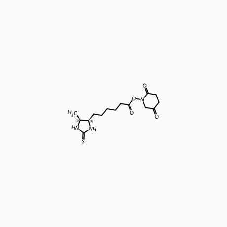 C[C@@H]1NC(=S)N[C@@H]1CCCCCC(=O)ON1CC(=O)CCC1=O